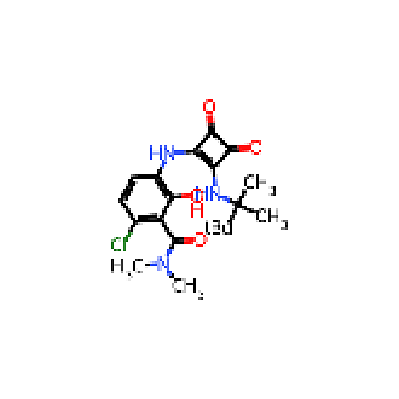 CN(C)C(=O)c1c(Cl)ccc(Nc2c(NC(C)(C)C(C)(C)C)c(=O)c2=O)c1O